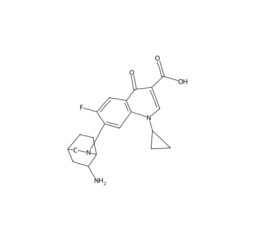 NC1CC2CCC1N(c1cc3c(cc1F)c(=O)c(C(=O)O)cn3C1CC1)C2